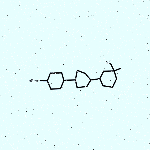 CCCCCC1CCC(C2CCC(C3CCCC(C)(C#N)C3)CC2)CC1